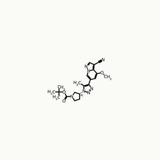 COc1cc(-c2nnn([C@@H]3CCN(C(=O)OC(C)(C)C)C3)c2C)cn2ncc(C#N)c12